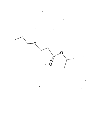 CCCOCCC(=O)OC(C)C